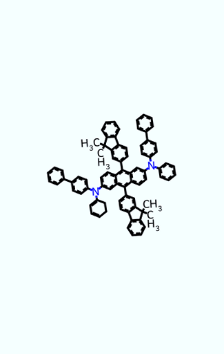 CC1(C)c2ccccc2-c2ccc(-c3c4ccc(N(c5ccccc5)c5ccc(-c6ccccc6)cc5)cc4c(-c4ccc5c(c4)C(C)(C)c4ccccc4-5)c4ccc(N(C5=CC=CCC5)c5ccc(-c6ccccc6)cc5)cc34)cc21